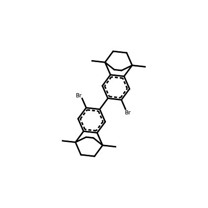 CC12CCC(C)(CC1)c1cc(-c3cc4c(cc3Br)C3(C)CCC4(C)CC3)c(Br)cc12